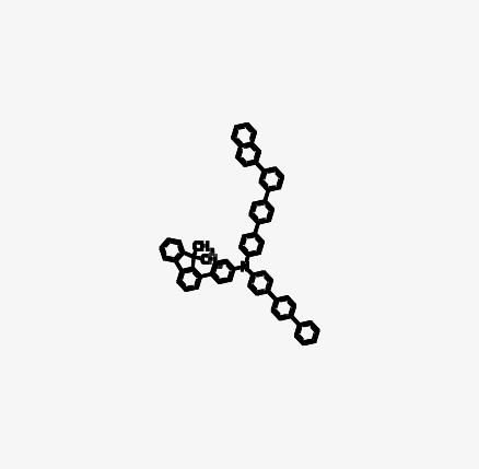 CC1(C)c2ccccc2-c2cccc(-c3ccc(N(c4ccc(-c5ccc(-c6ccccc6)cc5)cc4)c4ccc(-c5ccc(-c6cccc(-c7ccc8ccccc8c7)c6)cc5)cc4)cc3)c21